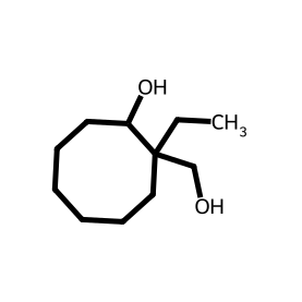 CCC1(CO)CCCCCCC1O